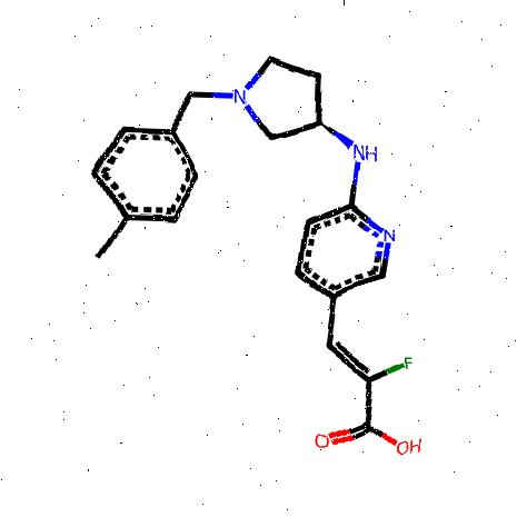 Cc1ccc(CN2CC[C@@H](Nc3ccc(/C=C(\F)C(=O)O)cn3)C2)cc1